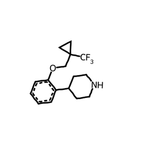 FC(F)(F)C1(COc2ccccc2C2CCNCC2)CC1